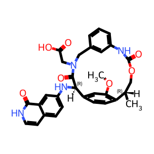 COc1cc2ccc1[C@@H](C)COC(=O)Nc1cccc(c1)CN(CC(=O)O)C(=O)[C@@H]2Nc1ccc2cc[nH]c(=O)c2c1